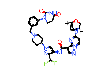 O=C1CCN(c2cccc(CN3CCC(n4cc(NC(=O)c5cnn6ccc(N7C[C@H]8C[C@@H]7CO8)nc56)c(C(F)F)n4)CC3)c2)C(=O)N1